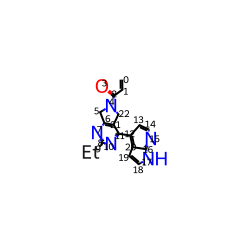 C=CC(=O)N1Cc2nc(CC)nc(-c3ccnc4[nH]ccc34)c2C1